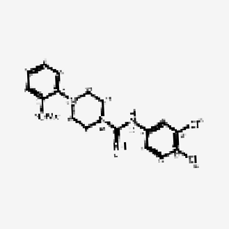 COc1ccccc1N1CCN(C(=N)Nc2ccc(Cl)c(Cl)c2)CC1